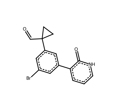 O=CC1(c2cc(Br)cc(-c3ccc[nH]c3=O)c2)CC1